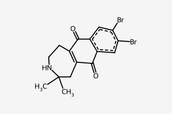 CC1(C)CC2=C(CCN1)C(=O)c1cc(Br)c(Br)cc1C2=O